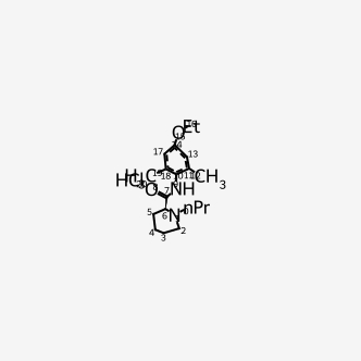 CCCN1CCCC[C@H]1C(=O)Nc1c(C)cc(OCC)cc1C.Cl